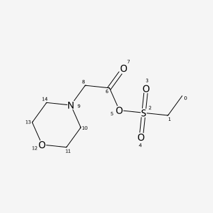 CCS(=O)(=O)OC(=O)CN1CCOCC1